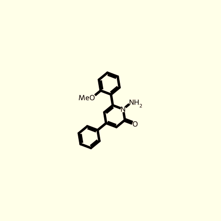 COc1ccccc1-c1cc(-c2ccccc2)cc(=O)n1N